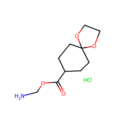 Cl.NCOC(=O)C1CCC2(CC1)OCCO2